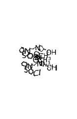 CN(C)S(=O)(=O)c1ccc2c(c1)N(CCCN1CCC(CCO)CC1)c1ccccc1S2.OCCN1CCN(CCCN2c3ccccc3Sc3ccc(Cl)cc32)CC1